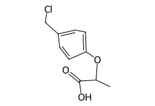 CC(Oc1ccc(CCl)cc1)C(=O)O